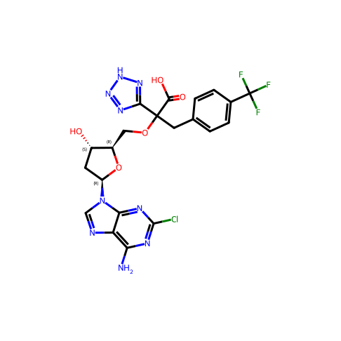 Nc1nc(Cl)nc2c1ncn2[C@H]1C[C@H](O)[C@@H](COC(Cc2ccc(C(F)(F)F)cc2)(C(=O)O)c2nn[nH]n2)O1